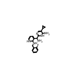 NC1NC(C(N)C2=CC=CNC2NCc2ccccc2F)=NC=C1C1CC1